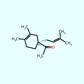 CC(=O)[C@@]1(CC=C(C)C)CCC(C)=C(C)C1